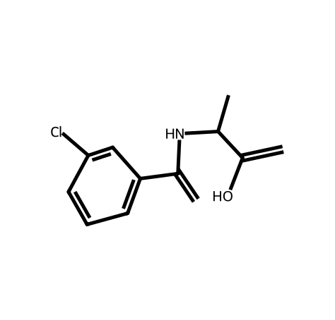 C=C(NC(C)C(=C)O)c1cccc(Cl)c1